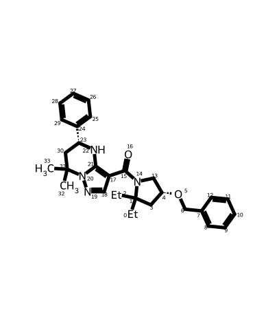 CCC1(CC)C[C@@H](OCc2ccccc2)CN1C(=O)c1cnn2c1N[C@@H](c1ccccc1)CC2(C)C